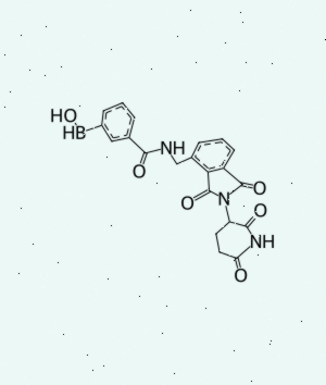 O=C1CCC(N2C(=O)c3cccc(CNC(=O)c4cccc(BO)c4)c3C2=O)C(=O)N1